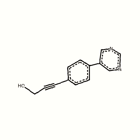 OCC#Cc1ccc(-c2cncnc2)cc1